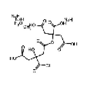 O.O.O=C(O)CC(O)(CC(=O)OC(CC(=O)O)(CC(=O)O)C(=O)O)C(=O)O.[NaH].[NaH].[NaH]